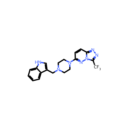 FC(F)(F)c1nnc2ccc(N3CCN(Cc4c[nH]c5ccccc45)CC3)nn12